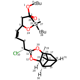 CC(C)(C)OC(=O)CC(/C=C\C[C@@H](Cl)B1O[C@@H]2[C@@H]3C[C@H](C[C@]2(C)O1)C3(C)C)O[Si](C)(C)C(C)(C)C